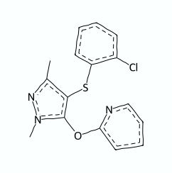 Cc1nn(C)c(Oc2ccccn2)c1Sc1ccccc1Cl